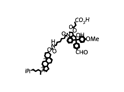 COc1ccc(C(c2ccccc2)(c2ccc(C=O)cc2)C(O)C2CN(C(=O)CCCCCNC(=O)OC3CC[C@@]4(C)C(=CCC5C4CC[C@@]4(C)C5CC[C@@H]4C(C)CCCC(C)C)C3)CC2OC(=O)CCC(=O)O)cc1